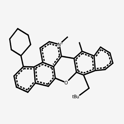 Cc1c2c(c(CC(C)(C)C)c3ccccc13)Oc1cc3cccc(C4CCCCC4)c3c3cc[n+](C)c-2c13